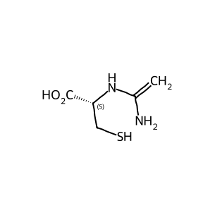 C=C(N)N[C@H](CS)C(=O)O